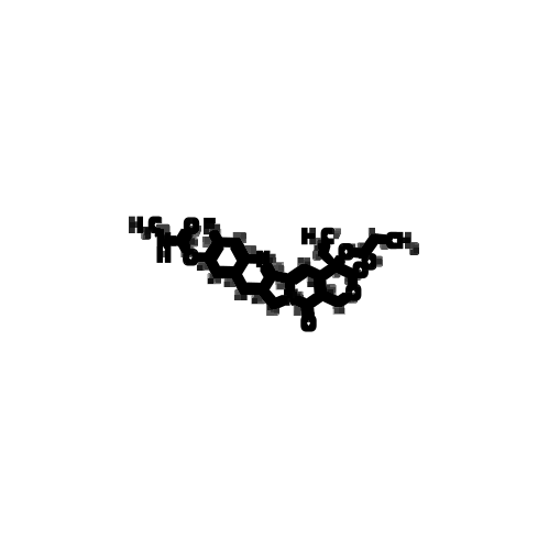 CCC(=O)O[C@]1(CC)C(=O)OCc2c1cc1n(c2=O)Cc2cc3cc(OC(=O)NC)c(F)cc3nc2-1